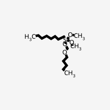 CCCCCCCC[Si](OC)(OC)OCOCCCCC